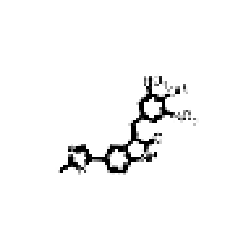 Cc1nc(-c2ccc3c(c2)C(=Cc2cc([N+](=O)[O-])c(O)c([N+](=O)[O-])c2)C(=O)N3)cs1